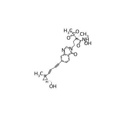 C[C@@]1(C#CC#Cc2ccc3c(=O)n(CC[C@](C)(C(=O)NO)S(C)(=O)=O)cnc3c2)C[C@H]1CO